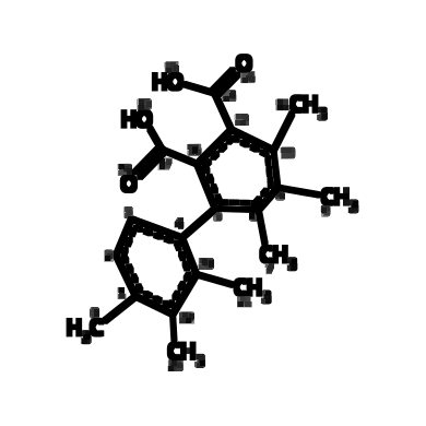 Cc1ccc(-c2c(C)c(C)c(C)c(C(=O)O)c2C(=O)O)c(C)c1C